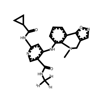 [2H]C([2H])([2H])NC(=O)c1cnc(NC(=O)C2CC2)cc1Nc1cccc2c1N(C)Cc1cnoc1-2